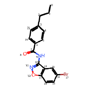 CCCc1ccc(C(=O)Nc2noc3ccc(Br)cc23)cc1